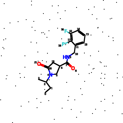 CCC(C)N1CC(C(=O)NCc2cccc(F)c2F)CC1=O